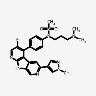 CN(C)CCCN(c1ccc(-c2c(F)cnc3[nH]c4cnc(-c5cnn(C)c5)cc4c23)cc1)S(C)(=O)=O